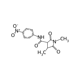 CC1C(=O)N(C)C(=O)C1C(=O)Nc1ccc([N+](=O)[O-])cc1